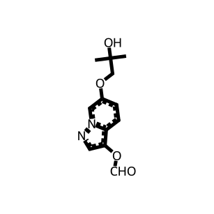 CC(C)(O)COc1ccc2c(OC=O)cnn2c1